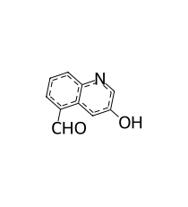 O=Cc1cccc2ncc(O)cc12